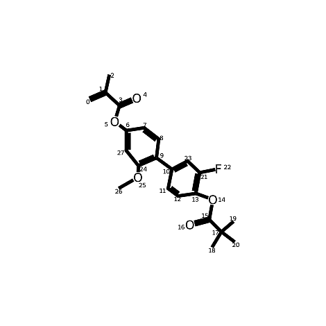 C=C(C)C(=O)Oc1ccc(-c2ccc(OC(=O)C(C)(C)C)c(F)c2)c(OC)c1